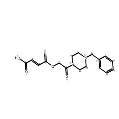 O=C(O)C=CC(=O)OCC(=O)N1CCN(Cc2ccccc2)CC1